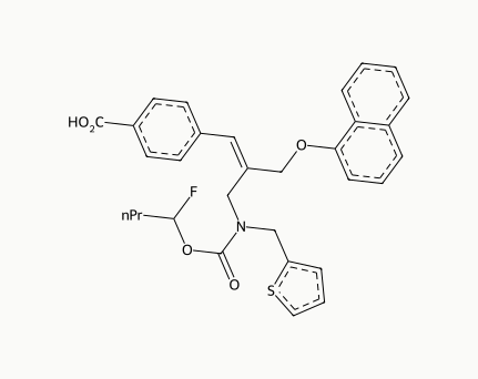 CCCC(F)OC(=O)N(CC(=Cc1ccc(C(=O)O)cc1)COc1cccc2ccccc12)Cc1cccs1